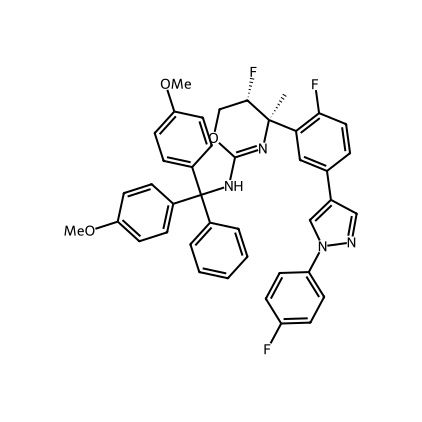 COc1ccc(C(NC2=N[C@](C)(c3cc(-c4cnn(-c5ccc(F)cc5)c4)ccc3F)[C@@H](F)CO2)(c2ccccc2)c2ccc(OC)cc2)cc1